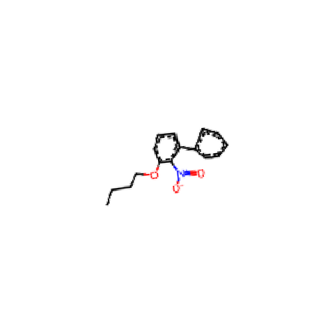 CCCCOc1cccc(-c2ccccc2)c1[N+](=O)[O-]